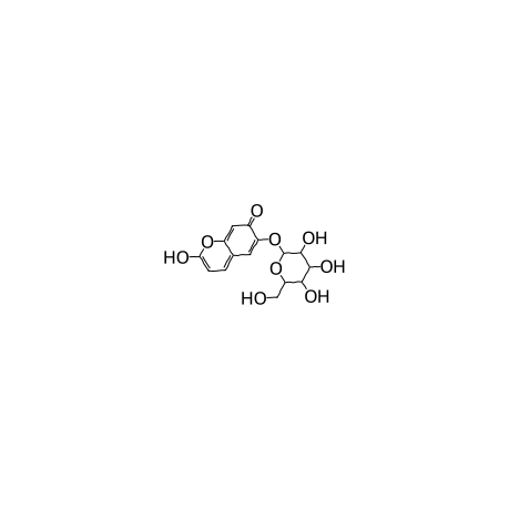 O=c1cc2oc(O)ccc-2cc1OC1OC(CO)C(O)C(O)C1O